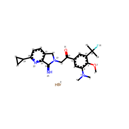 Br.COc1c(N(C)C)cc(C(=O)CN2Cc3ccc(C4CC4)nc3C2=N)cc1C(C)(C)F